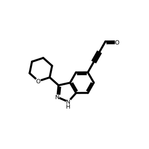 O=CC#Cc1ccc2[nH]nc(C3CCCCO3)c2c1